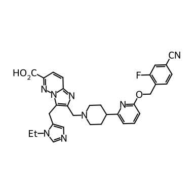 CCn1cncc1Cc1c(CN2CCC(c3cccc(OCc4ccc(C#N)cc4F)n3)CC2)nc2ccc(C(=O)O)nn12